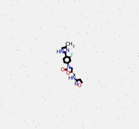 Cc1c[nH]c(-c2ccc(N3C[C@H](CNc4ccon4)OC3=O)cc2F)n1